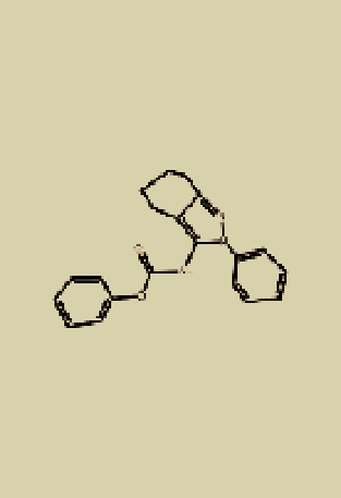 O=C(Nc1c2c(nn1-c1ccccc1)CCCC2)Oc1ccccc1